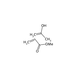 C=C(C)O.C=CC(=O)OC